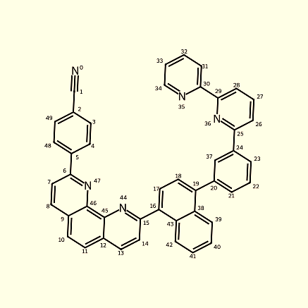 N#Cc1ccc(-c2ccc3ccc4ccc(-c5ccc(-c6cccc(-c7cccc(-c8ccccn8)n7)c6)c6ccccc56)nc4c3n2)cc1